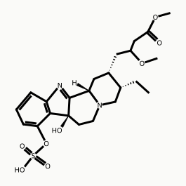 CC[C@@H]1CN2CC[C@@]3(O)C(=Nc4cccc(OS(=O)(=O)O)c43)[C@@H]2C[C@@H]1CC(CC(=O)OC)OC